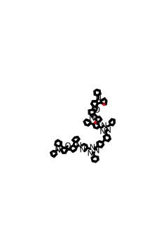 c1ccc(-c2nc(-c3ccc(-c4cccc(-c5nc(-c6ccccc6)nc(-c6ccc(-c7ccccc7-n7c8ccccc8c8c9oc%10c(ccc%11c%10c%10ccccc%10n%11-c%10ccccc%10)c9ccc87)cc6)n5)c4)cc3)nc(-c3ccc(-n4c5ccccc5c5c6oc7c(ccc8c7c7ccccc7n8-c7ccccc7)c6ccc54)nc3)n2)cc1